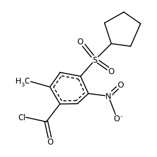 Cc1cc(S(=O)(=O)C2CCCC2)c([N+](=O)[O-])cc1C(=O)Cl